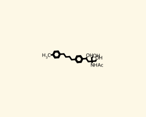 CC(=O)NC(CO)(CO)CC(O)c1ccc(CCCCc2ccc(C)cc2)cc1